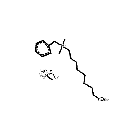 CCCCCCCCCCCCCCCCCC[N+](C)(C)Cc1ccccc1.CN.O=S(=O)([O-])O